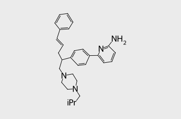 CC(C)CN1CCN(CC(CC=Cc2ccccc2)c2ccc(-c3cccc(N)n3)cc2)CC1